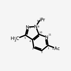 CC(=O)c1ccc2c(C)nn(C(C)C)c2n1